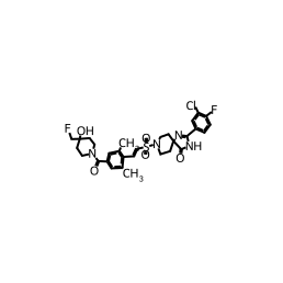 Cc1cc(C(=O)N2CCC(O)(CF)CC2)cc(C)c1/C=C/S(=O)(=O)N1CCC2(CC1)N=C(c1ccc(F)c(Cl)c1)NC2=O